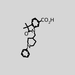 CC1(C)C(=O)N(CC2CCN(c3ccccc3)CC2)c2cc(C(=O)O)ccc21